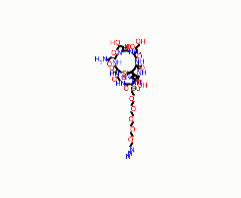 CC[C@H](C)[C@@H]1NC(=O)CNC(=O)[C@@H]2Cc3c([nH]c4c(CSCCOCCOCCOCCOCCOCCN=[N+]=[N-])c(O)ccc34)[S+]([O-])C[C@H](NC(=O)CNC1=O)C(=O)N[C@@H](CC(N)=O)C(=O)N1C[C@H](O)C[C@H]1C(=O)N[C@@H]([C@@H](C)[C@@H](O)CO)C(=O)N2